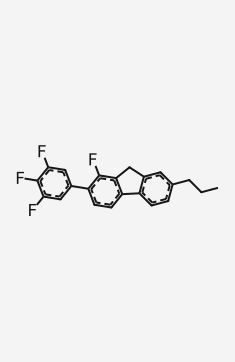 CCCc1ccc2c(c1)Cc1c-2ccc(-c2cc(F)c(F)c(F)c2)c1F